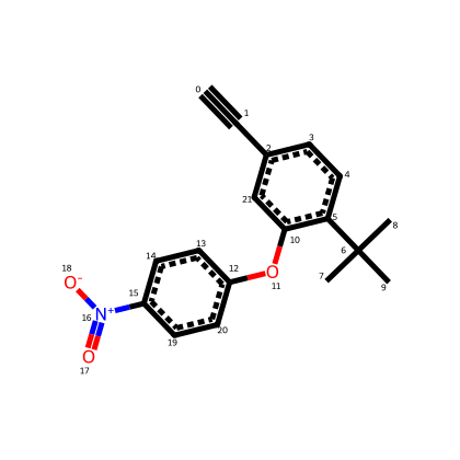 C#Cc1ccc(C(C)(C)C)c(Oc2ccc([N+](=O)[O-])cc2)c1